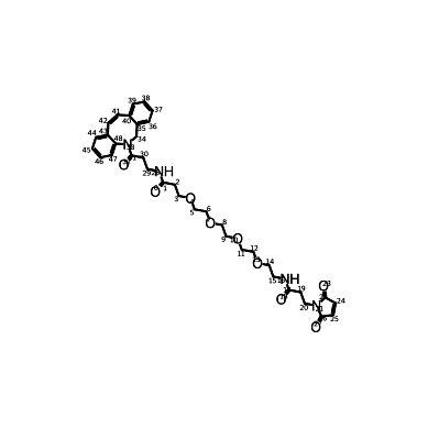 O=C(CCOCCOCCOCCOCCNC(=O)CCN1C(=O)C=CC1=O)NCCC(=O)N1Cc2ccccc2/C=C\c2ccccc21